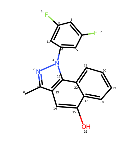 Cc1nn(-c2cc(F)cc(F)c2)c2c1cc(O)c1ccccc12